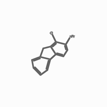 CCCc1ccc2c(c1[O])Cc1ccccc1-2